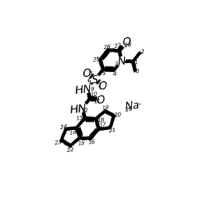 CC(C)n1cc(S(=O)(=O)NC(=O)Nc2c3c(cc4c2CCC4)CCC3)ccc1=O.[Na]